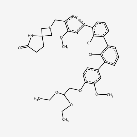 CCOC(COc1ccc(-c2cccc(-c3cccc(-c4ccc(CN5CC6(CCC(=O)N6)C5)c(OC)n4)c3Cl)c2Cl)cc1OC)OCC